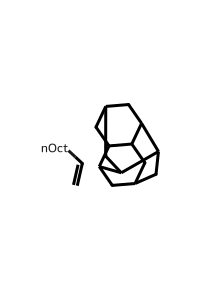 C1C2CC3C4CC5CC(C14)C(C2)C3C5.C=CCCCCCCCC